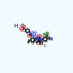 COC(=O)c1ccc(NC(=O)Nc2cc(F)ccc2CN2C(=O)N(c3ccc(C#N)c(C(F)(F)F)c3)C(=O)C2(C)C)cc1